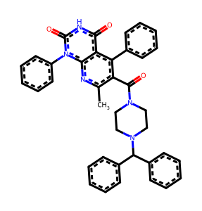 Cc1nc2c(c(-c3ccccc3)c1C(=O)N1CCN(C(c3ccccc3)c3ccccc3)CC1)c(=O)[nH]c(=O)n2-c1ccccc1